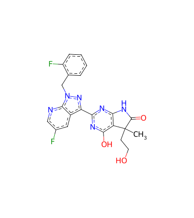 CC1(CCO)C(=O)Nc2nc(-c3nn(Cc4ccccc4F)c4ncc(F)cc34)nc(O)c21